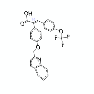 O=C(O)/C(=C/c1ccc(OC(F)(F)F)cc1)c1ccc(OCc2ccc3ccccc3n2)cc1